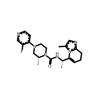 Cc1cnc2n1C([C@H](C)NC(=O)N1CCN(c3ccncc3F)C[C@H]1C)=CCC2